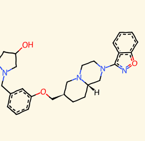 OC1CCN(Cc2cccc(OC[C@@H]3CC[C@H]4CN(c5noc6ccccc56)CCN4C3)c2)C1